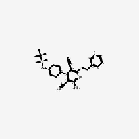 CC(C)(C)[Si](C)(C)O[C@H]1CC[C@@H](c2c(C#N)c(N)nc(SCc3cccnc3)c2C#N)CC1